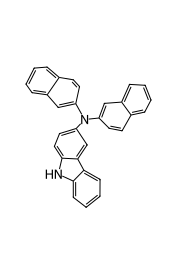 c1ccc2cc(N(c3ccc4ccccc4c3)c3ccc4[nH]c5ccccc5c4c3)ccc2c1